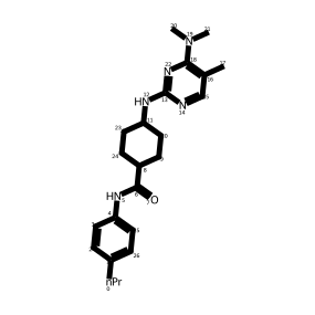 CCCc1ccc(NC(=O)C2CCC(Nc3ncc(C)c(N(C)C)n3)CC2)cc1